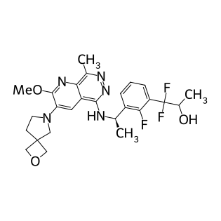 COc1nc2c(C)nnc(N[C@H](C)c3cccc(C(F)(F)C(C)O)c3F)c2cc1N1CCC2(COC2)C1